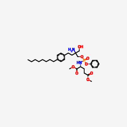 CCCCCCCCc1ccc(CCC(N)(CO)COP(=O)(NC(CCC(=O)OC)C(=O)OC)Oc2ccccc2)cc1